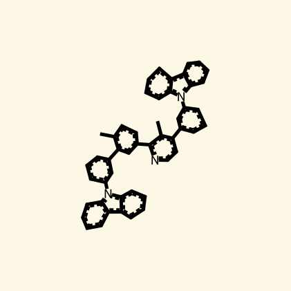 Cc1ccc(-c2nccc(-c3cccc(-n4c5ccccc5c5ccccc54)c3)c2C)cc1-c1cccc(-n2c3ccccc3c3ccccc32)c1